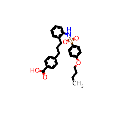 CCCCOc1ccc(S(=O)(=O)Nc2ccccc2CCCc2ccc(C(=O)O)cc2)cc1